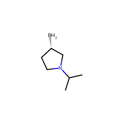 B[C@H]1CCN(C(C)C)C1